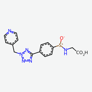 O=C(O)CN[S+]([O-])c1ccc(-c2nnn(Cc3ccncc3)n2)cc1